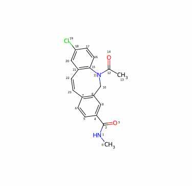 CNC(=O)c1ccc2c(c1)CN(C(C)=O)c1ccc(Cl)cc1C=C2